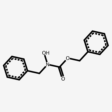 O=C(OCc1ccccc1)N(O)Cc1ccccc1